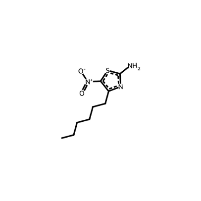 CCCCCCc1nc(N)sc1[N+](=O)[O-]